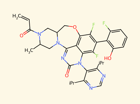 C=CC(=O)N1CC2COc3c(F)c(-c4c(O)cccc4F)c(F)c4c3c(nc(=O)n4-c3c(C(C)C)ncnc3C(C)C)N2CC1C